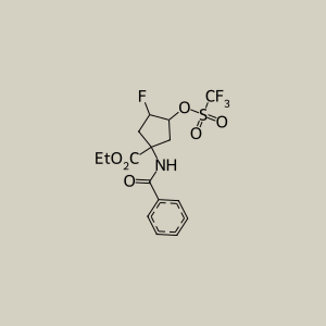 CCOC(=O)C1(NC(=O)c2ccccc2)CC(F)C(OS(=O)(=O)C(F)(F)F)C1